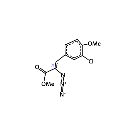 COC(=O)/C(=C/c1ccc(OC)c(Cl)c1)N=[N+]=[N-]